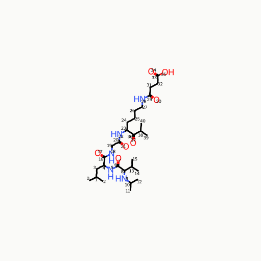 CC(C)CC(NC(=O)C(NC(C)C)C(C)C)C(=O)NCC(=O)NC(CCCCNC(=O)CCC(=O)O)C(=O)C(C)C